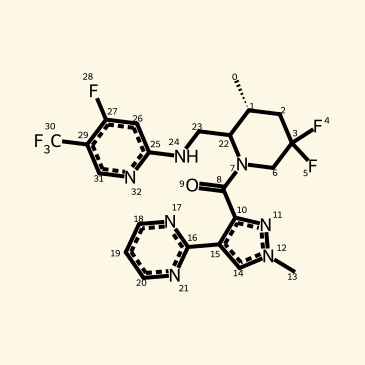 C[C@@H]1CC(F)(F)CN(C(=O)c2nn(C)cc2-c2ncccn2)C1CNc1cc(F)c(C(F)(F)F)cn1